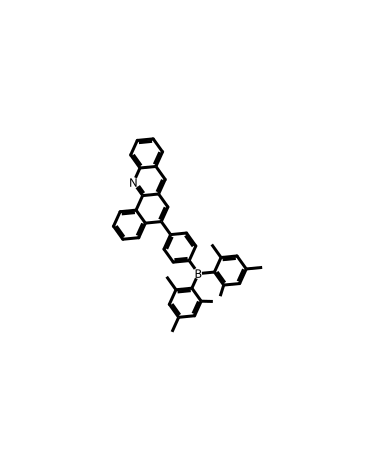 Cc1cc(C)c(B(c2ccc(-c3cc4cc5ccccc5nc4c4ccccc34)cc2)c2c(C)cc(C)cc2C)c(C)c1